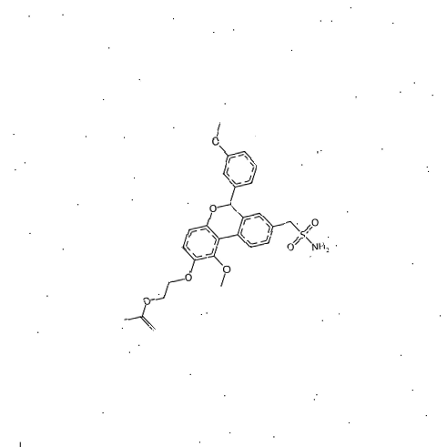 C=C(C)OCCOc1ccc2c(c1OC)-c1ccc(CS(N)(=O)=O)cc1C(c1cccc(OC)c1)O2